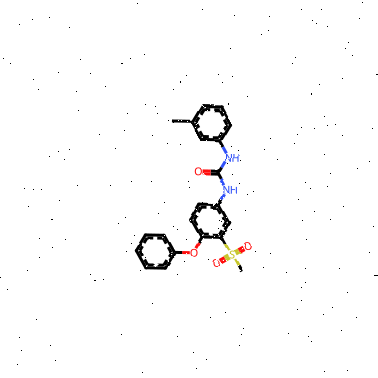 Cc1cccc(NC(=O)Nc2ccc(Oc3ccccc3)c(S(C)(=O)=O)c2)c1